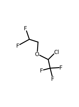 FC(F)COC(Cl)C(F)(F)F